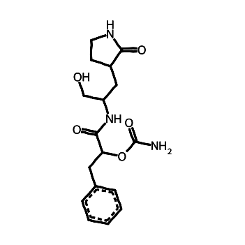 NC(=O)OC(Cc1ccccc1)C(=O)NC(CO)CC1CCNC1=O